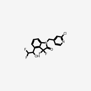 O=C1N(Cc2ccnc(Cl)c2)c2cccc(C(O)C(F)F)c2C1(F)F